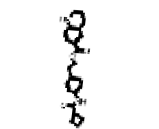 O=C(OCCc1ccc(NC(=O)C2CCC2)cc1)c1ccc2c(c1)CCCN2